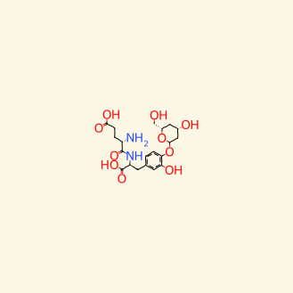 N[C@@H](CCC(=O)O)C(=O)N[C@@H](Cc1ccc(OC2C[C@@H](O)C[C@@H](CO)O2)c(O)c1)C(=O)O